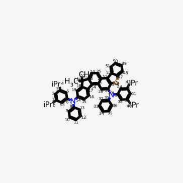 CC(C)c1cc(C(C)C)cc(N(c2ccccc2)c2ccc3c(c2)C(C)(C)c2ccc4c(cc(N(c5ccccc5)c5cc(C(C)C)cc(C(C)C)c5)c5sc6ccccc6c54)c2-3)c1